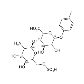 Cc1ccc(O[C@@H]2OC(C(=O)O)[C@@H](O[C@H]3OC(COS(=O)(=O)O)[C@@H](O)[C@H](O)C3N)[C@H](O)C2O)cc1